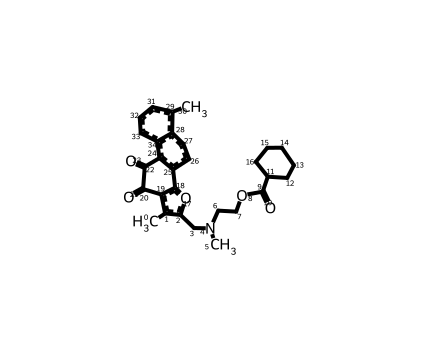 Cc1c(CN(C)CCOC(=O)C2CCCCC2)oc2c1C(=O)C(=O)c1c-2ccc2c(C)cccc12